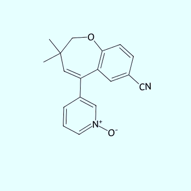 CC1(C)C=C(c2ccc[n+]([O-])c2)c2cc(C#N)ccc2OC1